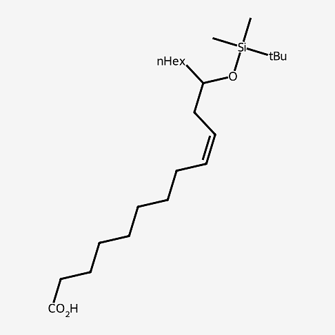 CCCCCCC(C/C=C\CCCCCCCC(=O)O)O[Si](C)(C)C(C)(C)C